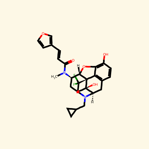 CN(C(=O)/C=C/c1ccoc1)[C@@H]1CC[C@@]2(O)[C@H]3Cc4ccc(O)c5c4[C@]2([C@H]1O5)C(F)(F)CN3CC1CC1